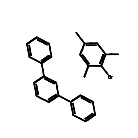 Cc1cc(C)c(Br)c(C)c1.c1ccc(-c2cccc(-c3ccccc3)c2)cc1